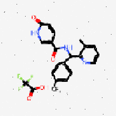 Cc1cccnc1C(NC(=O)c1ccc(=O)[nH]c1)c1ccc(C(F)(F)F)cc1.O=C(O)C(F)(F)F